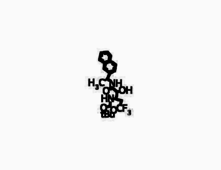 C[C@H](NC(=O)C(O)C(CC(F)(F)F)NC(=O)OC(C)(C)C)c1ccc2ccccc2c1